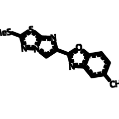 CSc1nn2cc(-c3nc4cc(C)ccc4o3)nc2s1